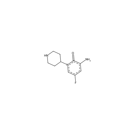 Nc1cc(F)cn(C2CCNCC2)c1=O